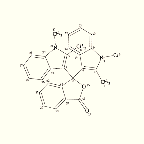 Cc1c(C2(c3c(C)n(Cl)c4ccccc34)OC(=O)c3ccccc32)c2ccccc2n1C